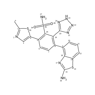 Cc1ncc(-c2ccc(-c3cccc4sc(N)nc34)c(-c3nn[nH]n3)c2S(N)(=O)=O)s1